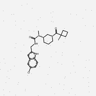 CN(C(=O)NCc1cc2cc(Cl)ccc2[nH]1)C1CCCN(C(=O)C2(F)CCC2)C1